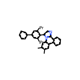 Cc1cc2c3ccccc3c3ncc(-c4c(C(C)C)cc(-c5ccccc5)cc4C(C)C)n3c2cc1C